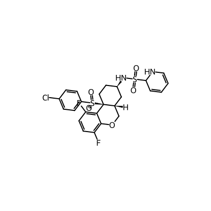 O=S(=O)(N[C@@H]1CC[C@@]2(S(=O)(=O)c3ccc(Cl)cc3)c3c(F)ccc(F)c3OC[C@H]2C1)C1C=CC=CN1